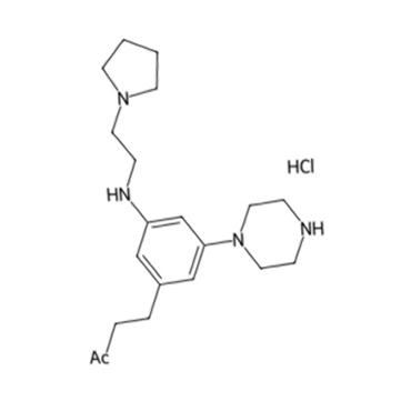 CC(=O)CCc1cc(NCCN2CCCC2)cc(N2CCNCC2)c1.Cl